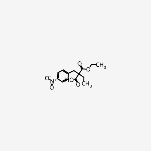 CCOC(=O)C(CC)(Cc1ccc([N+](=O)[O-])cc1)C(=O)O